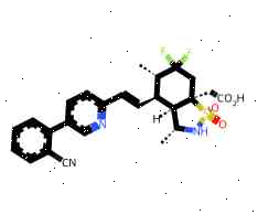 C[C@H]1NS(=O)(=O)[C@]2(CC(=O)O)CC(F)(F)[C@@H](C)[C@H](C=Cc3ccc(-c4ccccc4C#N)cn3)[C@H]12